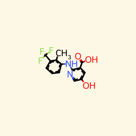 Cc1c(Nc2ncc(O)cc2C(=O)O)cccc1C(F)(F)F